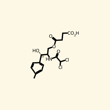 Cc1ccc([C@H](O)C(COC(=O)CCC(=O)O)NC(=O)C(Cl)Cl)cc1